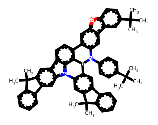 CC(C)(C)c1ccc(N2B3c4cc5c(cc4-n4c6cc7c(cc6c6ccc(c3c64)-c3cc4oc6ccc(C(C)(C)C)cc6c4cc32)C(C)(C)c2ccccc2-7)C(C)(C)c2ccccc2-5)cc1